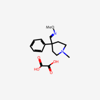 CON=CC1(c2ccccc2)CCN(C)CC1.O=C(O)C(=O)O